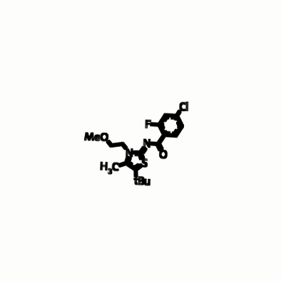 COCCn1c(C)c(C(C)(C)C)s/c1=N\C(=O)c1ccc(Cl)cc1F